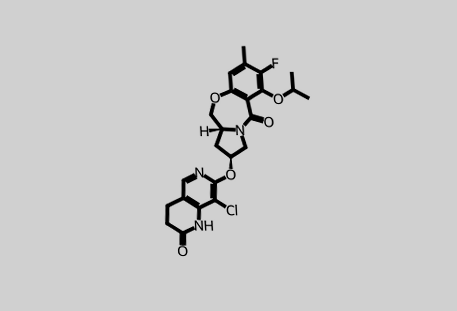 Cc1cc2c(c(OC(C)C)c1F)C(=O)N1C[C@@H](Oc3ncc4c(c3Cl)NC(=O)CC4)C[C@@H]1CO2